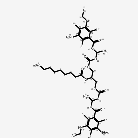 CCCCCCCCCCCCCCCCCC(=O)OC(COC(=O)OC(C)OC(=O)c1c(I)c(NCC(C)=O)c(I)c(NC(C)=O)c1I)COC(=O)OC(C)OC(=O)c1c(I)c(NCC(C)=O)c(I)c(NC(C)=O)c1I